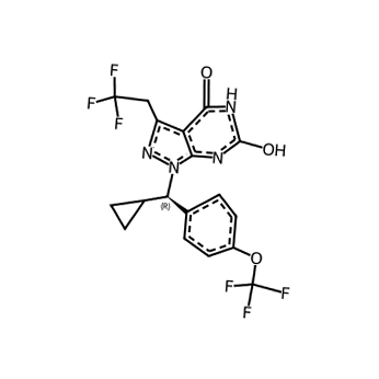 O=c1[nH]c(O)nc2c1c(CC(F)(F)F)nn2[C@@H](c1ccc(OC(F)(F)F)cc1)C1CC1